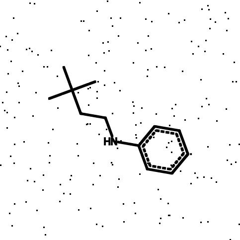 CC(C)(C)CCNc1cc[c]cc1